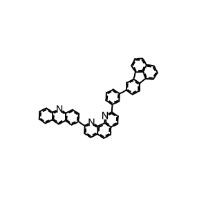 c1cc(-c2ccc3c(c2)-c2cccc4cccc-3c24)cc(-c2ccc3ccc4ccc(-c5ccc6nc7ccccc7cc6c5)nc4c3n2)c1